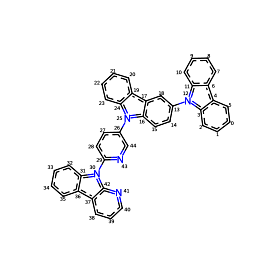 c1ccc2c(c1)c1ccccc1n2-c1ccc2c(c1)c1ccccc1n2-c1ccc(-n2c3ccccc3c3cccnc32)nc1